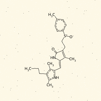 CCCc1c(C)[nH]c(/C=C2\NC(=O)C(CC[S+]([O-])c3ccc(C)cc3)=C2C)c1C